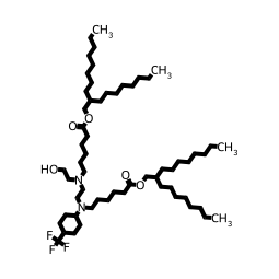 CCCCCCCCC(CCCCCCCC)COC(=O)CCCCCN(CCO)CCN(CCCCCC(=O)OCC(CCCCCCCC)CCCCCCCC)C1CCC(C(F)(F)F)CC1